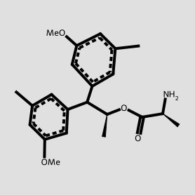 COc1cc(C)cc(C(c2cc(C)cc(OC)c2)[C@H](C)OC(=O)[C@H](C)N)c1